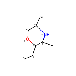 CCC1OCC(C)NC1C